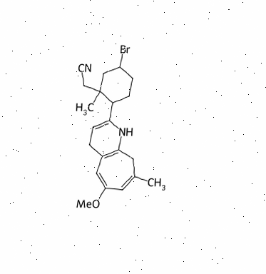 COC1=CC2=C(CC(C)=C1)NC(C1CCC(Br)CC1(C)CC#N)=CC2